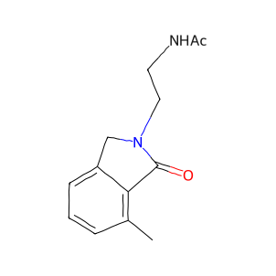 CC(=O)NCCN1Cc2cccc(C)c2C1=O